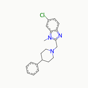 Cn1c(CN2CCC(c3ccccc3)CC2)nc2ccc(Cl)cc21